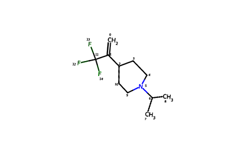 C=C(C1CCN(C(C)C)CC1)C(F)(F)F